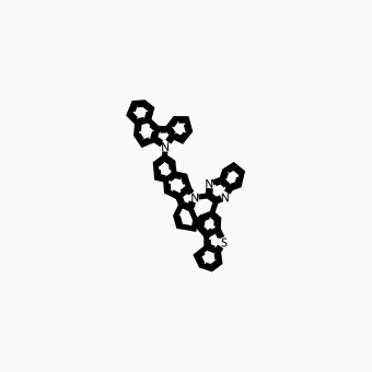 c1c(-c2nc3ccccc3nc2-n2c3c(c4cc5ccc(-n6c7ccccc7c7c8ccccc8ccc76)cc5cc42)C=CCC3)cc2sc3ccccc3c2c#1